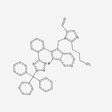 CCCCc1ncc(C=O)n1Cc1c2ccocc-2c(Br)c1-c1ccccc1-c1nnn(C(c2ccccc2)(c2ccccc2)c2ccccc2)n1